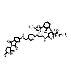 CNC(=O)c1nnc(NCCCN2CCC(CNc3ccc4c(c3)C(=O)N(C3CCC(=O)NC3=O)C4=O)CC2)cc1Nc1cccc(-c2ncn(C)n2)c1OC